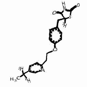 [2H]C1(Cc2ccc(OCCc3ccc(C([2H])([2H])C)cn3)cc2)SC(=O)NC1=O